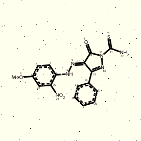 COc1ccc(N/N=C2/C(=O)N(C(N)=S)N=C2c2ccccc2)c([N+](=O)[O-])c1